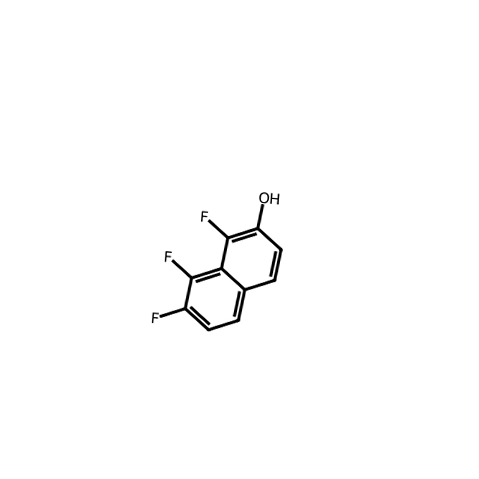 Oc1ccc2ccc(F)c(F)c2c1F